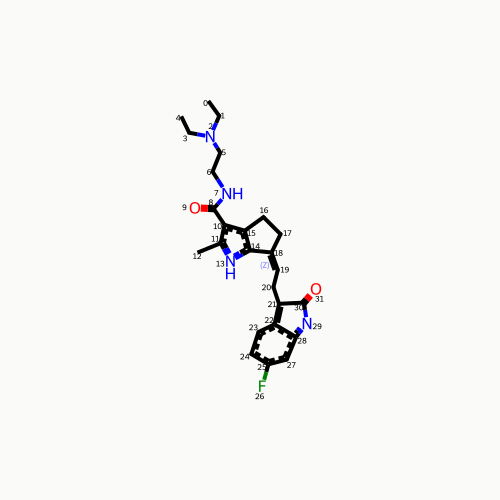 CCN(CC)CCNC(=O)c1c(C)[nH]c2c1CC/C2=C/CC1=c2ccc(F)cc2=NC1=O